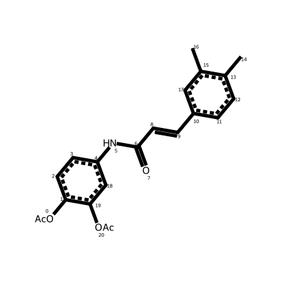 CC(=O)Oc1ccc(NC(=O)/C=C/c2ccc(C)c(C)c2)cc1OC(C)=O